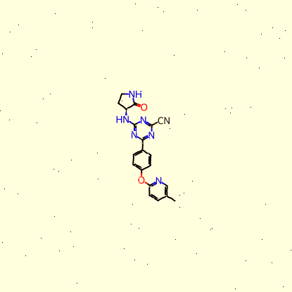 Cc1ccc(Oc2ccc(-c3nc(C#N)nc(N[C@H]4CCNC4=O)n3)cc2)nc1